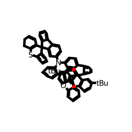 CC(C)(C)c1ccc2c(c1)C1(c3cc(C(C)(C)C)ccc3S2)c2ccccc2-c2ccc(N(c3ccc4c(c3)C3(C5=C(CCC=C5)Sc5ccccc53)c3ccccc3-4)c3ccccc3-c3cccc4c3oc3ccccc34)cc21